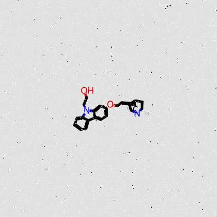 OCCn1c2ccccc2c2ccc(OC/C=C3\CN4CCC3CC4)cc21